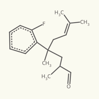 CC(C)=CCC(C)(CC(C)C=O)c1ccccc1F